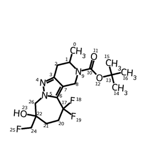 CC1Cc2nn3c(c2CN1C(=O)OC(C)(C)C)C(F)(F)CCC(O)(CF)C3